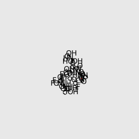 CCS(=O)(=O)c1cccnc1S(=O)(=O)NC(=O)Nc1nc(OC)cc(OC)n1.C[C@H](OC(=O)c1cc(Oc2ccc(C(F)(F)F)cc2Cl)ccc1Cl)C(=O)O.O=C(Nc1nc(OC(F)F)cc(OC(F)F)n1)NS(=O)(=O)c1ccccc1C(=O)O.O=C(O)CNCP(=O)(O)O